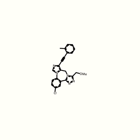 COCc1nnc2n1Cc1c(C#Cc3ccccc3C)ncn1-c1ccc(Cl)cc1-2